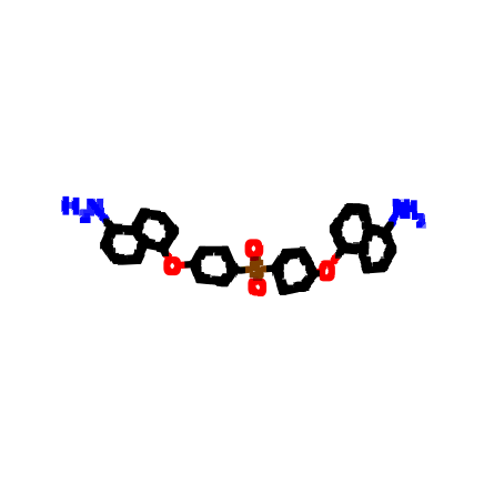 Nc1cccc2c(Oc3ccc(S(=O)(=O)c4ccc(Oc5cccc6c(N)cccc56)cc4)cc3)cccc12